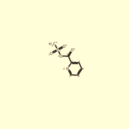 CS(=O)(=O)OC(=O)c1ccccn1